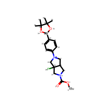 CC(C)(C)OC(=O)N1CC2CN(c3ccc(B4OC(C)(C)C(C)(C)O4)cc3)CC2(F)C1